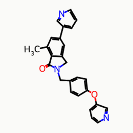 Cc1cc(-c2cccnc2)cc2c1C(=O)N(Cc1ccc(Oc3cccnc3)cc1)C2